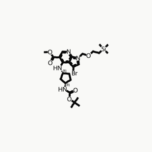 COC(=O)c1cnc2c(c(Br)cn2COCC[Si](C)(C)C)c1N[C@@H]1CC[C@@H](NC(=O)OC(C)(C)C)C1